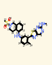 CNc1ncc2nc(-c3cc(Nc4cccc5c4CCN(S(C)(=O)=O)C5)ccc3C)sc2n1